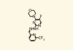 Fc1cnc(N/N=C\c2cccc(C(F)(F)F)n2)nc1N1CCOCC1